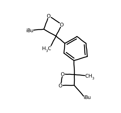 CCC(C)C1OOC1(C)c1cccc(C2(C)OOC2C(C)CC)c1